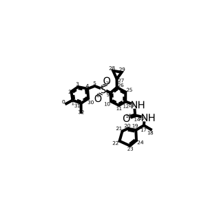 Cc1ccc(CS(=O)(=O)c2ccc(NC(=O)NC(C)C3=CCCC=C3)cc2C2CC2)cc1C